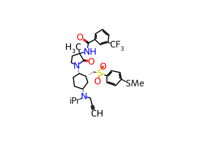 C#CCN(C(C)C)[C@@H]1CC[C@H](N2CC[C@](C)(NC(=O)c3cccc(C(F)(F)F)c3)C2=O)[C@H](CS(=O)(=O)c2ccc(SC)cc2)C1